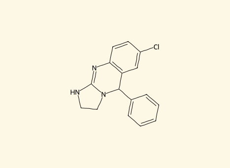 Clc1ccc2c(c1)C(c1ccccc1)N1CCNC1=N2